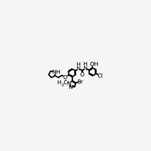 Cn1ncc(Br)c1-c1cc(NC(=O)Nc2ccc(Cl)cc2O)ccc1OCCC1CCCN1